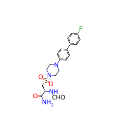 NC(=O)[C@@H](CS(=O)(=O)N1CCN(c2ccc(-c3ccc(F)cc3)cc2)CC1)NC=O